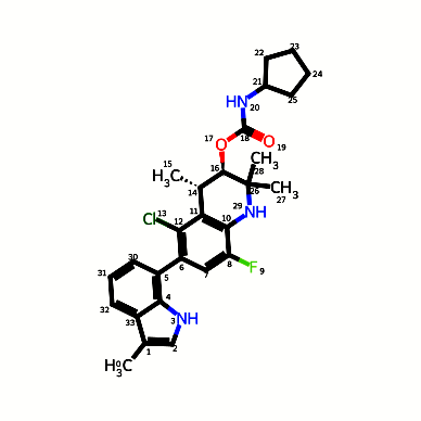 Cc1c[nH]c2c(-c3cc(F)c4c(c3Cl)[C@H](C)[C@@H](OC(=O)NC3CCCC3)C(C)(C)N4)cccc12